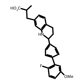 COc1ccc(F)c(-c2ccc(C3CCc4ccc(CC(C)C(=O)O)cc4N3)cc2)c1